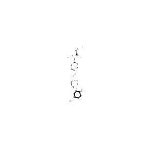 N#CCC(=O)N[C@H]1CC[C@@H](CCN2CCN(c3cc(C(F)(F)F)ccc3F)CC2)CC1